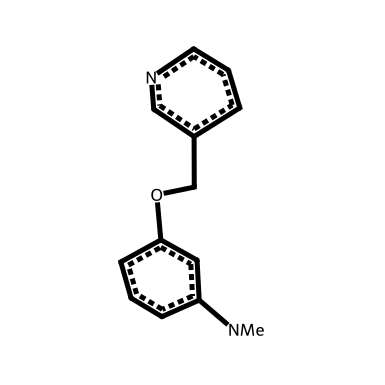 CNc1cccc(OCc2cccnc2)c1